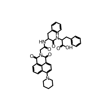 O=C(CN1C(=O)c2cccc3c(N4CCCCC4)ccc(c23)C1=O)NC(Cc1ccccc1)C(=O)NC(Cc1ccccc1)C(=O)O